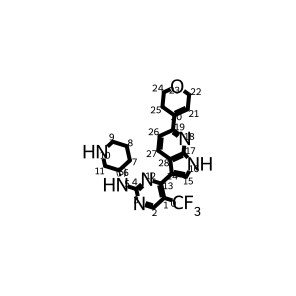 FC(F)(F)c1cnc(N[C@H]2CCCNC2)nc1-c1c[nH]c2nc(C3=CCOCC3)ccc12